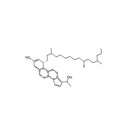 CCCC(C)CCC(F)CCCCCCC(C)CC[C@H]1C=C(O)C=c2ccc3c4c(ccc3c21)=C(C(C)O)C=C4